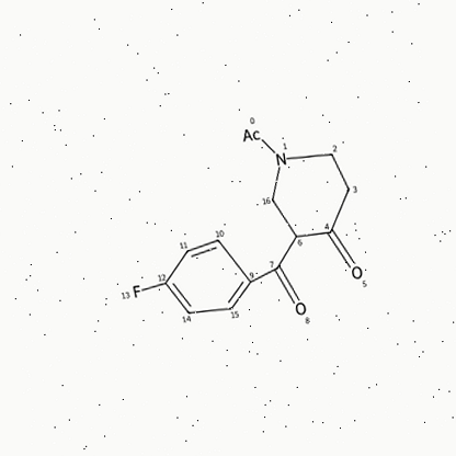 CC(=O)N1CCC(=O)C(C(=O)c2ccc(F)cc2)C1